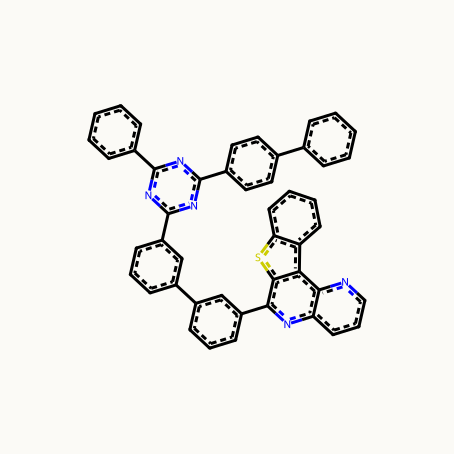 c1ccc(-c2ccc(-c3nc(-c4ccccc4)nc(-c4cccc(-c5cccc(-c6nc7cccnc7c7c6sc6ccccc67)c5)c4)n3)cc2)cc1